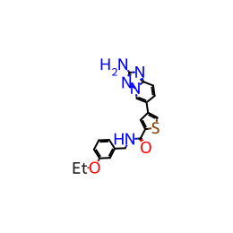 CCOc1cccc(CNC(=O)c2cc(-c3ccc4nc(N)nn4c3)cs2)c1